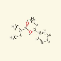 CCC(C)C(=O)OC(CC)c1ccccc1